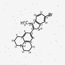 C[n+]1c(-c2cc3c4c(c2)CCCN4CCC3)sc2cc(Br)ccc21